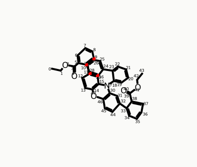 CCOC(=O)c1ccccc1-c1ccc2c(c1)N(c1ccccc1-c1ccccc1)c1cc(-c3ccccc3C(=O)OCC)ccc1O2